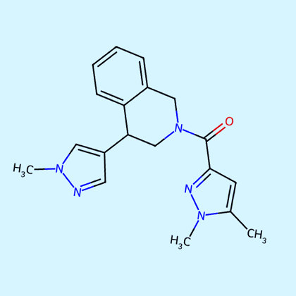 Cc1cc(C(=O)N2Cc3ccccc3C(c3cnn(C)c3)C2)nn1C